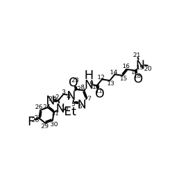 CCn1c(Cn2cncc(NC(=O)CCC/C=C/C(=O)N(C)C)c2=O)nc2cc(F)ccc21